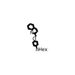 [CH2]CCCCCc1ccc(OCc2ccc3ccccc3n2)cc1